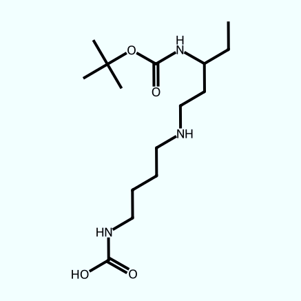 CCC(CCNCCCCNC(=O)O)NC(=O)OC(C)(C)C